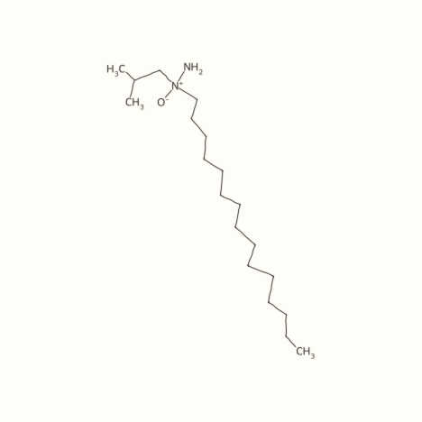 CCCCCCCCCCCCCCC[N+](N)([O-])CC(C)C